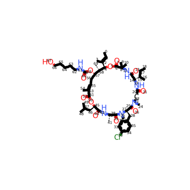 C/C=C(\C)[C@H]1OC(=O)C(C)(C)NC(=O)[C@H](C(C)CC)NC(=O)CN(C)C(=O)[C@@H](Cc2ccc(Cl)cc2)N(C)C(=O)[C@H](C)NC(=O)[C@@H](CC(C)C)OC(=O)/C(C)=C/C[C@H](OC(=O)NCCCCCO)[C@@H]1C